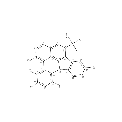 CCC(C)(C)c1cc2cc[n+](C)c3c4c(C)c(C)cc(C)c4n4c5ccc(C)cc5c1c4c23